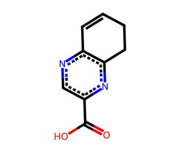 O=C(O)c1cnc2c(n1)CCC=C2